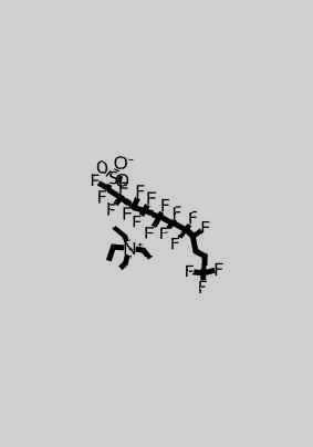 CC[N+](CC)(CC)CC.O=S(=O)([O-])C(F)(F)C(F)(F)C(F)(F)C(F)(F)C(F)(F)C(F)(F)C(F)(F)C(F)CCC(F)(F)F